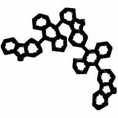 c1ccc2c(c1)oc1ccc(-c3c4ccccc4c(-c4ccc5c(c4)sc4cccc(-c6c7ccccc7c(-c7ccc8oc9ccccc9c8c7)c7ccccc67)c45)c4ccccc34)cc12